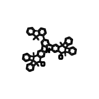 CC1(C)c2ccccc2-c2cccc(-c3cc4c5cc6c(cc5n5c7cc8c(cc7c(c3)c45)C3(C)c4ccccc4C34c3ccccc3C4(C)C8=O)C(=O)C3(C)c4ccccc4C34c3ccccc3C64C)c21